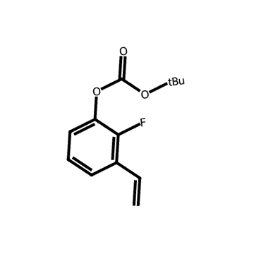 C=Cc1cccc(OC(=O)OC(C)(C)C)c1F